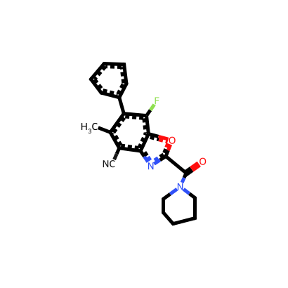 Cc1c(-c2ccccc2)c(F)c2oc(C(=O)N3CCCCC3)nc2c1C#N